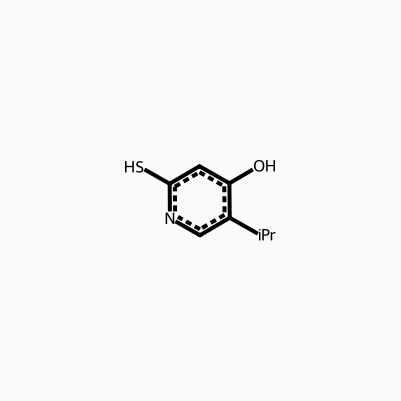 CC(C)c1cnc(S)cc1O